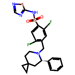 O=S(=O)(Nc1ncns1)c1cc(F)c(CN2CCC3(CC3)C[C@H]2c2ccccc2)cc1F